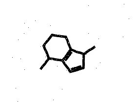 C[C]1C=CC2=C1CCCC2C